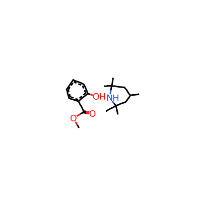 CC1CC(C)(C)NC(C)(C)C1.COC(=O)c1ccccc1O